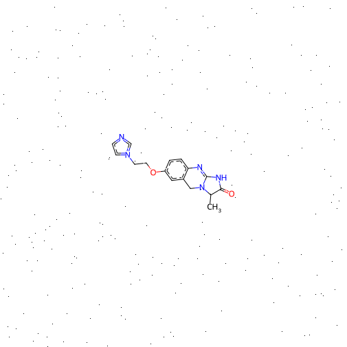 CC1C(=O)NC2=Nc3ccc(OCCn4ccnc4)cc3CN21